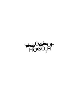 C=CCOCCO.O=S(=O)(O)O